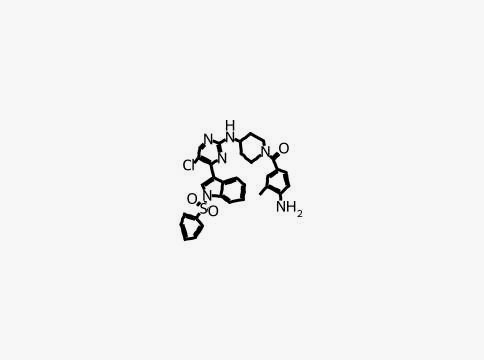 Cc1cc(C(=O)N2CCC(Nc3ncc(Cl)c(-c4cn(S(=O)(=O)c5ccccc5)c5ccccc45)n3)CC2)ccc1N